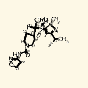 CC(F)c1cc(S(=O)(=O)C(C)(F)C2CCN(C(=O)Nc3ccon3)CC2)n(C)n1